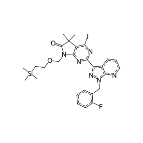 CC1(C)C(=O)N(COCC[Si](C)(C)C)c2nc(-c3nn(Cc4ccccc4F)c4ncccc34)nc(I)c21